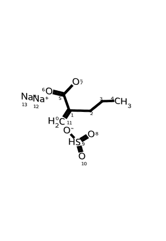 C=C(CCC)C(=O)[O-].O=[SH](=O)[O-].[Na+].[Na+]